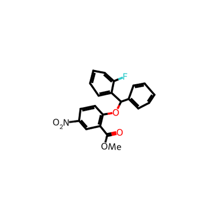 COC(=O)c1cc([N+](=O)[O-])ccc1OC(c1ccccc1)c1ccccc1F